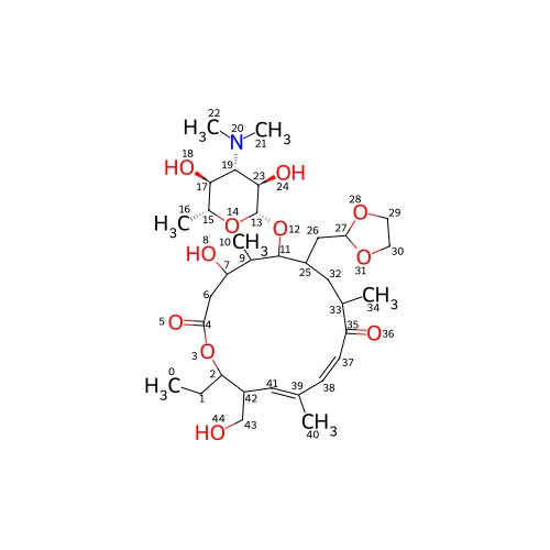 CCC1OC(=O)CC(O)C(C)C(O[C@@H]2O[C@H](C)[C@@H](O)[C@H](N(C)C)[C@H]2O)C(CC2OCCO2)CC(C)C(=O)/C=C\C(C)=C\C1CO